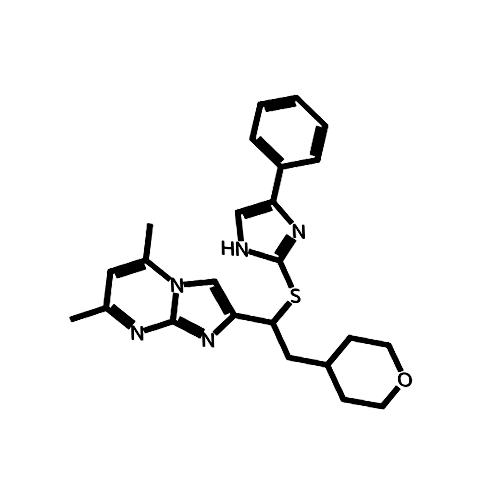 Cc1cc(C)n2cc(C(CC3CCOCC3)Sc3nc(-c4ccccc4)c[nH]3)nc2n1